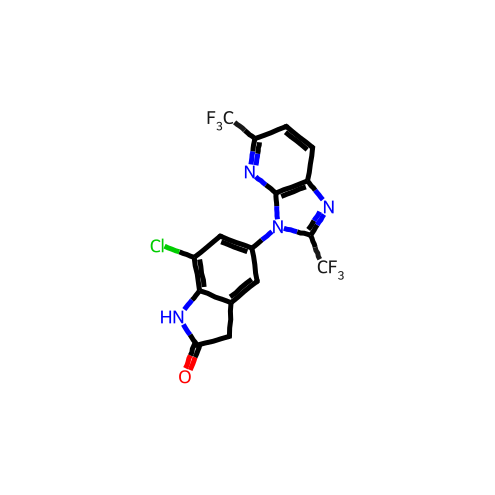 O=C1Cc2cc(-n3c(C(F)(F)F)nc4ccc(C(F)(F)F)nc43)cc(Cl)c2N1